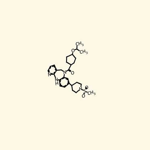 CC(C)OC1CCC(C(=O)N2Cc3cccnc3Nc3ccc(C4CCN(S(C)(=O)=O)CC4)cc32)CC1